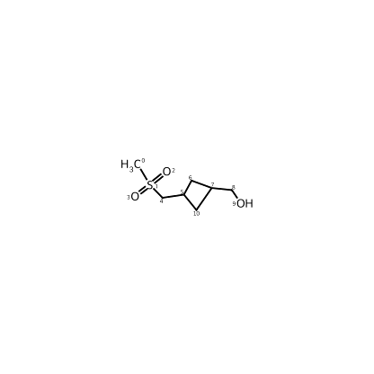 CS(=O)(=O)CC1CC(CO)C1